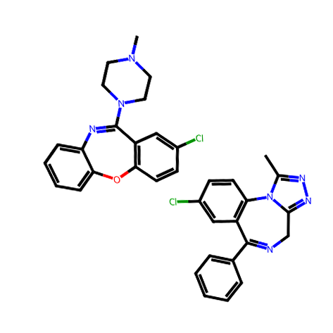 CN1CCN(C2=Nc3ccccc3Oc3ccc(Cl)cc32)CC1.Cc1nnc2n1-c1ccc(Cl)cc1C(c1ccccc1)=NC2